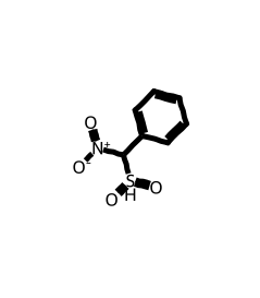 O=[N+]([O-])C(c1ccccc1)[SH](=O)=O